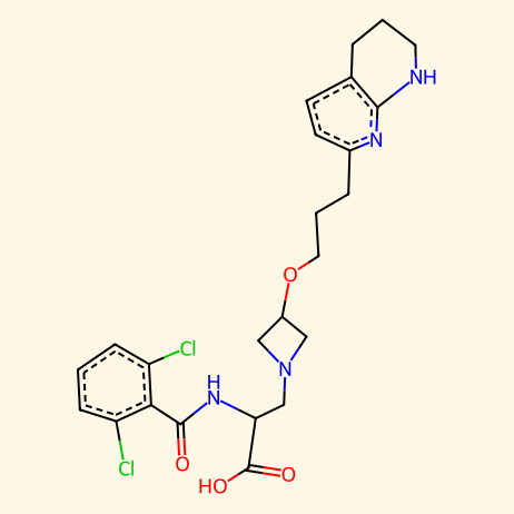 O=C(NC(CN1CC(OCCCc2ccc3c(n2)NCCC3)C1)C(=O)O)c1c(Cl)cccc1Cl